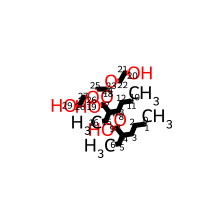 CCCCC(CC)C(=O)O.CCCCC(CC)C(=O)O.OCCOCCOCCO